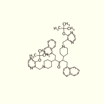 CC(C)(C)Oc1nccnc1CN1CCC(C(Cc2cccc3ccccc23)C(=O)C(Cc2cccc3ccccc23)C2CCN(Cc3nccnc3OC(C)(C)C)CC2)CC1